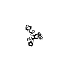 CCC1(OC(=O)C2CNS(=O)(=O)CC2OC(=O)CN2CCOCC2)CCCC1